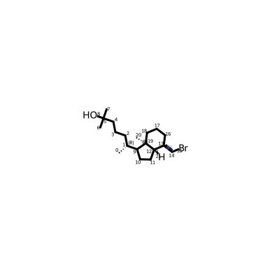 C[C@H](CCCC(C)(C)O)C1CC[C@H]2/C(=C/Br)CCC[C@]12C